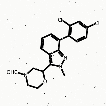 Cn1nc2c(-c3ccc(Cl)cc3Cl)cccc2c1C1CN(C=O)CCO1